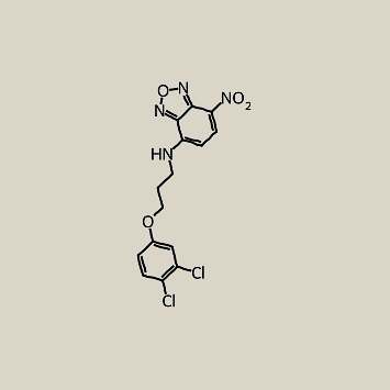 O=[N+]([O-])c1ccc(NCCCOc2ccc(Cl)c(Cl)c2)c2nonc12